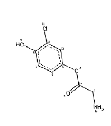 NCC(=O)Oc1ccc(O)c(Cl)c1